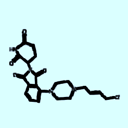 O=C1CCC(N2C(=O)c3cccc(N4CCN(CC=CCCl)CC4)c3C2=O)C(=O)N1